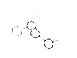 Cc1cc(N2CCCCC2)c2ccc(-c3cccc(N)c3)cc2n1